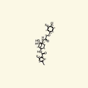 Cc1nc(C(=O)NC23CCC(NC(=O)COc4ccc(Cl)c(F)c4)(CC2)[C@H](O)C3)c(C)s1